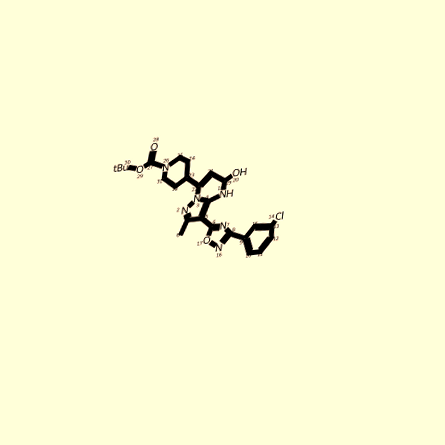 Cc1nn2c(c1-c1nc(-c3cccc(Cl)c3)no1)NC(O)C=C2C1CCN(C(=O)OC(C)(C)C)CC1